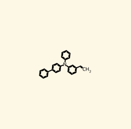 C=Cc1cccc(N(c2ccccc2)c2ccc(-c3ccccc3)cc2)c1